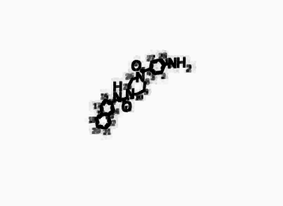 Nc1ccc(C(=O)N2CCCN(C(=O)Nc3ccc4ccccc4c3)CC2)cc1